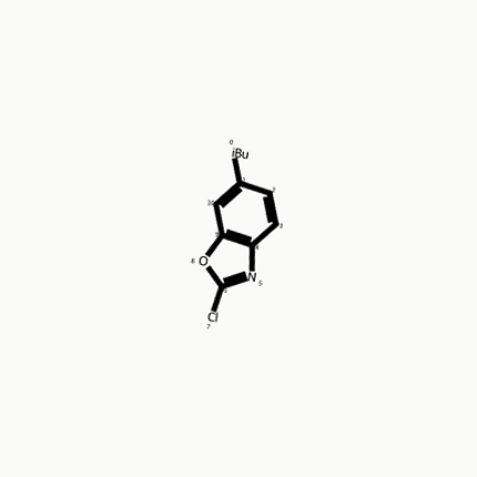 CCC(C)c1ccc2nc(Cl)oc2c1